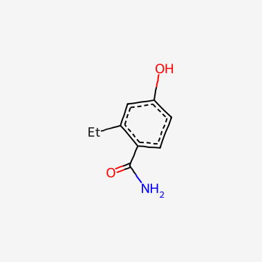 CCc1cc(O)ccc1C(N)=O